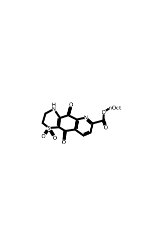 CCCCCCCCOC(=O)c1ccc2c(n1)C(=O)C1=C(C2=O)S(=O)(=O)CCN1